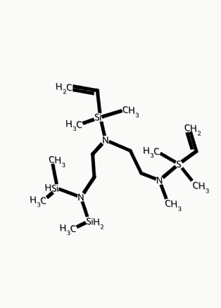 C=C[Si](C)(C)N(CCN([SiH2]C)[SiH](C)C)CCN(C)S(C)(C)C=C